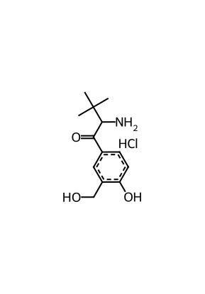 CC(C)(C)C(N)C(=O)c1ccc(O)c(CO)c1.Cl